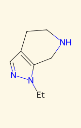 CCn1ncc2c1CNCC2